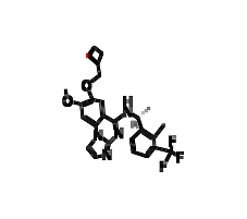 COc1cc2c(cc1OCC13CC(C1)C3)c(N[C@H](C)c1cccc(C(F)(F)F)c1C)nc1nccn12